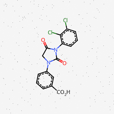 O=C(O)c1cccc(N2CC(=O)N(c3cccc(Cl)c3Cl)C2=O)c1